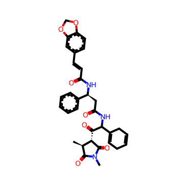 C[C@@H]1C(=O)N(C)C(=O)[C@H]1C(=O)C(NC(=O)C[C@H](NC(=O)/C=C/c1ccc2c(c1)OCO2)c1ccccc1)C1=CCC=CC1